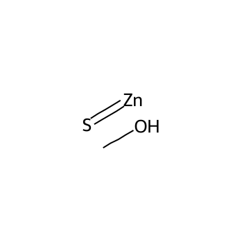 CO.[S]=[Zn]